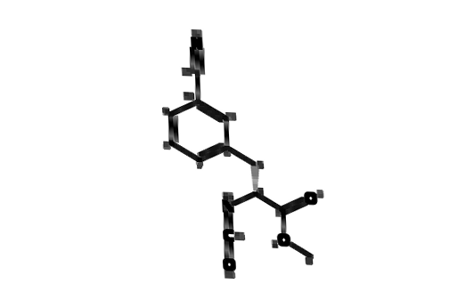 COC(=O)[C@@H](Cc1cccc(C#N)c1)N=C=O